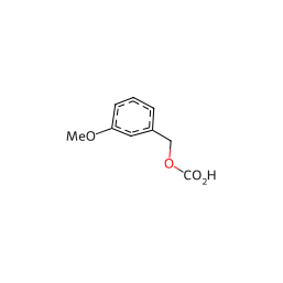 COc1cccc(COC(=O)O)c1